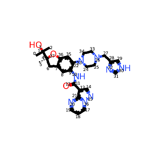 CC(C)(O)[C@]1(C)Cc2cc(NC(=O)c3cnn4cccnc34)c(N3CCN(Cc4c[nH]cn4)CC3)cc2O1